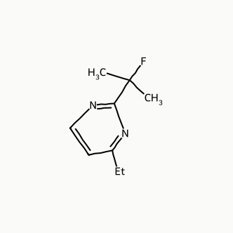 CCc1ccnc(C(C)(C)F)n1